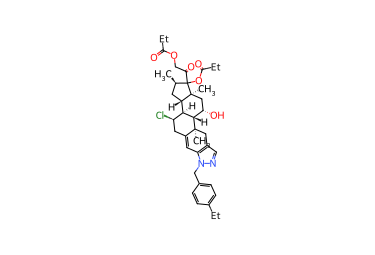 CCC(=O)OCC(=O)C1(OC(=O)CC)[C@H](C)C[C@H]2[C@H]3[C@H]([C@@H](O)C[C@@]21C)[C@@]1(C)Cc2cnn(Cc4ccc(CC)cc4)c2C=C1C[C@H]3Cl